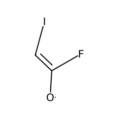 [O]/C(F)=C/I